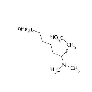 CC(=O)O.CCCCCCCCCCCC(F)N(C)C